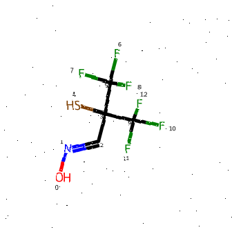 ON=CC(S)(C(F)(F)F)C(F)(F)F